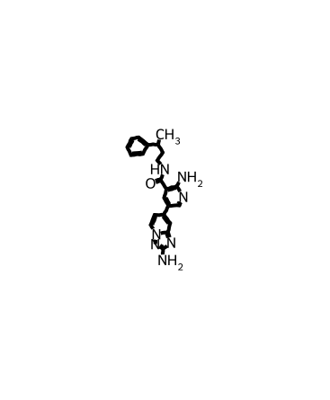 CC(CCNC(=O)c1cc(-c2ccn3nc(N)nc3c2)cnc1N)c1ccccc1